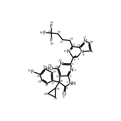 O=C1Nc2nc(-c3cn4ccnc4c(CCCC(F)(F)F)n3)nc(O)c2C1(c1ccc(F)cc1)C1CC1